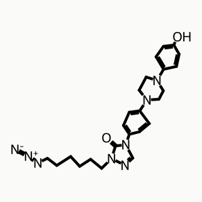 [N-]=[N+]=NCCCCCCn1ncn(-c2ccc(N3CCN(c4ccc(O)cc4)CC3)cc2)c1=O